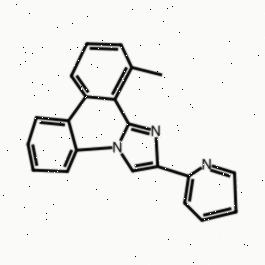 Cc1cccc2c3ccccc3n3cc(-c4ccccn4)nc3c12